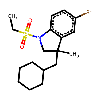 CCS(=O)(=O)N1CC(C)(CC2CCCCC2)c2cc(Br)ccc21